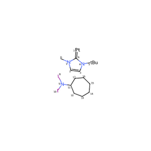 Cn1ccn(C(C)(C)C)[c]1=[Pt].IN(I)C1CCCCCC1